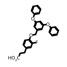 O=C(O)CCc1ccc(OCc2cc(Oc3ccccc3)cc(Oc3ccccc3)c2)c(F)c1